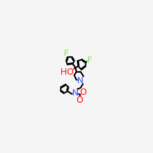 O=C1OC(CN2CCC(C(O)(c3ccc(F)cc3)c3ccc(F)cc3)CC2)CN1Cc1ccccc1